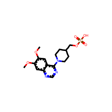 COc1cc2ncnc(N3CCC(COS(=O)(=O)O)CC3)c2cc1OC